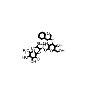 CCC(CC)C(OC1OC(C(F)(F)F)C(O)C(O)C1O)N(CC)OC1OC(CO)C(O)C(OC(CO)CC2CCCCC2)C1NC(C)=O